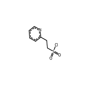 O=S(=O)(Cl)CCc1ccccn1